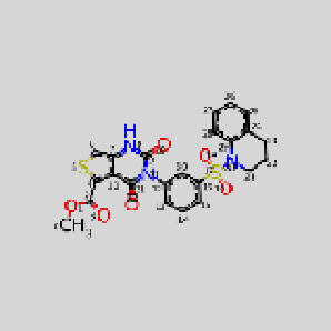 COC(=O)c1scc2[nH]c(=O)n(-c3cccc(S(=O)(=O)N4CCCc5ccccc54)c3)c(=O)c12